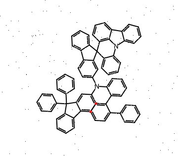 c1ccc(-c2ccccc2-c2ccccc2N(c2ccc3c(c2)C(c2ccccc2)(c2ccccc2)c2ccccc2-3)c2ccc3c(c2)C2(c4ccccc4-3)c3ccccc3-n3c4ccccc4c4cccc2c43)cc1